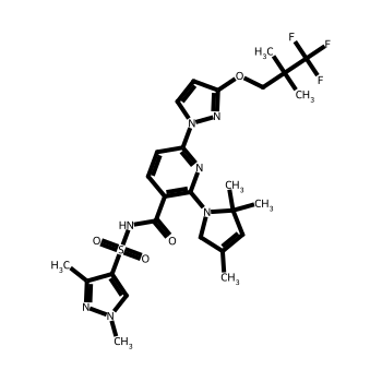 CC1=CC(C)(C)N(c2nc(-n3ccc(OCC(C)(C)C(F)(F)F)n3)ccc2C(=O)NS(=O)(=O)c2cn(C)nc2C)C1